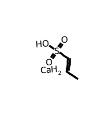 CC=CS(=O)(=O)O.[CaH2]